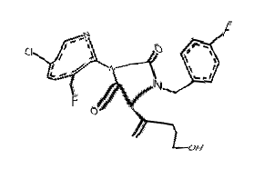 C=C(CCO)[C@H]1C(=O)N(c2ncc(Cl)cc2F)CC(=O)N1Cc1ccc(F)cc1